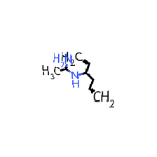 C=CCC(C=C)NC(C)N